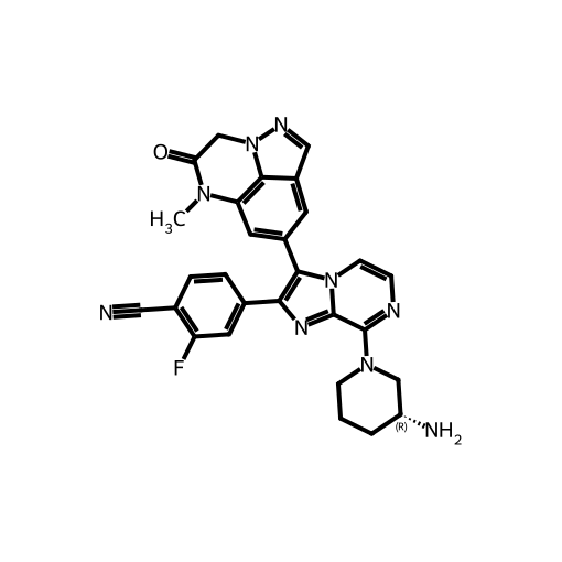 CN1C(=O)Cn2ncc3cc(-c4c(-c5ccc(C#N)c(F)c5)nc5c(N6CCC[C@@H](N)C6)nccn45)cc1c32